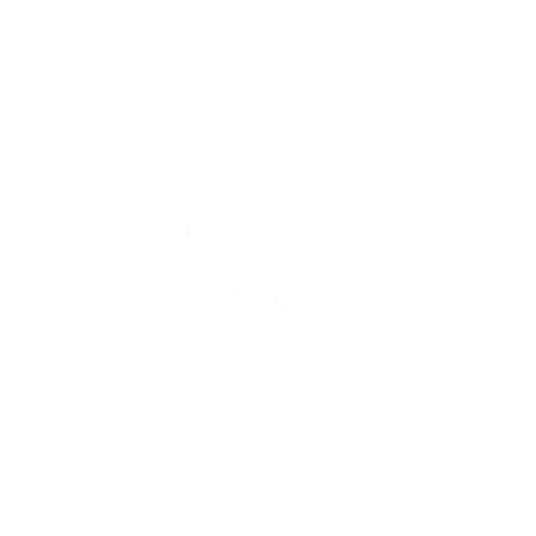 C=C(C)[SH](=O)(C(=C)C)c1ccc(O)cc1